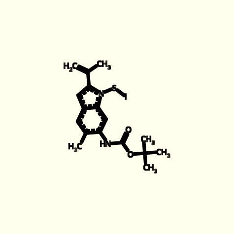 C=C(C)c1cc2cc(C)c(NC(=O)OC(C)(C)C)cc2n1SI